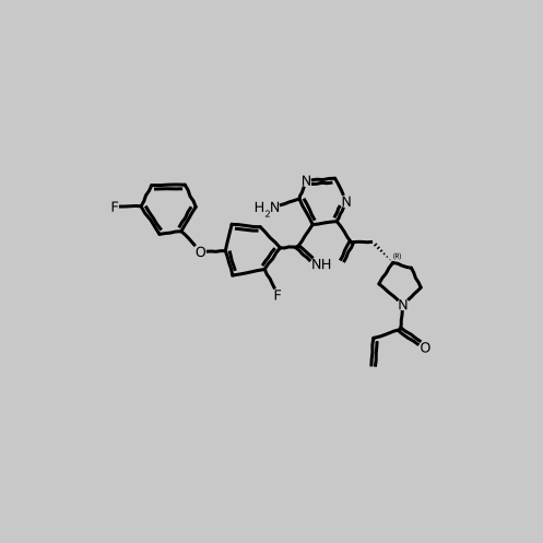 C=CC(=O)N1CC[C@@H](CC(=C)c2ncnc(N)c2C(=N)c2ccc(Oc3cccc(F)c3)cc2F)C1